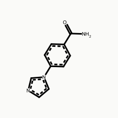 NC(=O)c1ccc(-n2ccnc2)cc1